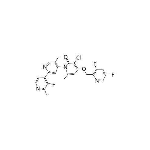 [CH2]c1nccc(-c2cc(-n3c(C)cc(OCc4ncc(F)cc4F)c(Cl)c3=O)c(C)cn2)c1F